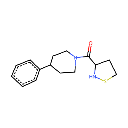 O=C(C1CCSN1)N1CCC(c2ccccc2)CC1